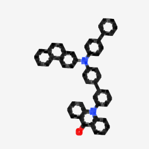 O=c1c2ccccc2n(-c2cccc(-c3ccc(N(c4ccc(-c5ccccc5)cc4)c4ccc5c(ccc6ccccc65)c4)cc3)c2)c2ccccc12